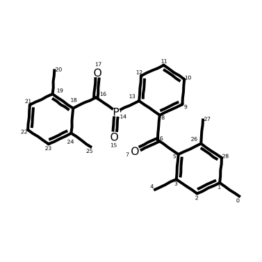 Cc1cc(C)c(C(=O)c2ccccc2[P](=O)C(=O)c2c(C)cccc2C)c(C)c1